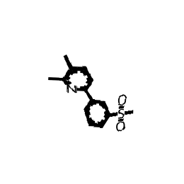 Cc1ccc(-c2cccc(S(C)(=O)=O)c2)nc1C